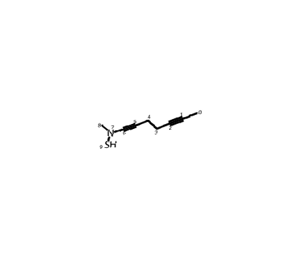 CC#CCCC#CN(C)S